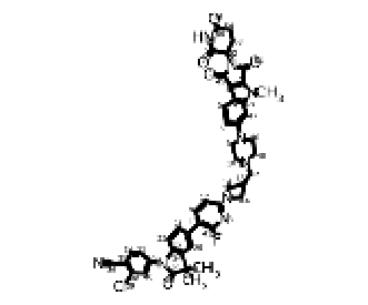 Cn1c2c(c3ccc(N4CCN(CC5CN(c6ccc(-c7ccc8c(c7)C(C)(C)C(=O)N8c7ccc(C#N)c(Cl)c7)c(F)n6)C5)CC4)cc31)C(=O)N(C1CCC(=O)NC1=O)C2=O